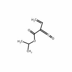 C=CC(=C=O)C(=O)OC(C)C